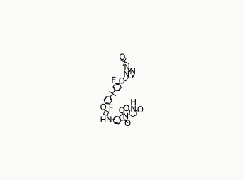 CC(C)(c1ccc(OCc2ccnc(N3CC4(COC4)C3)n2)c(F)c1)c1ccc(O[C@H]2C[C@H](Nc3ccc4c(c3)C(=O)N(C3CCC(=O)NC3=O)C4=O)C2)c(F)c1